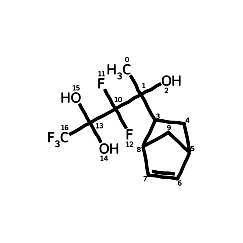 CC(O)(C1CC2C=CC1C2)C(F)(F)C(O)(O)C(F)(F)F